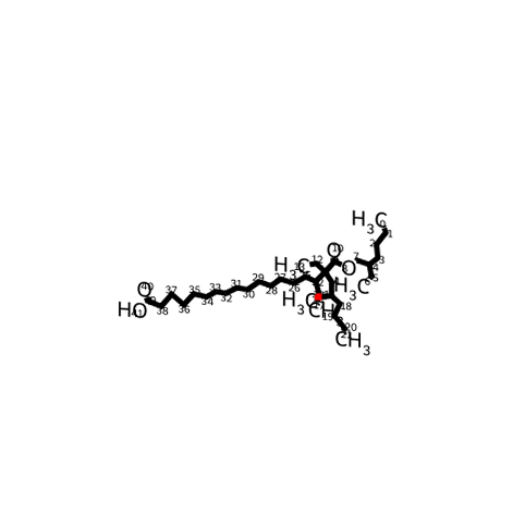 CCCCC(CC)COC(=O)C(CC)(CC(CC)CCCC)C(CC)CCCCCCCCCCCCCCC(=O)O